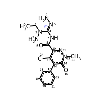 CCN(N)/C(=N\N)NC(=O)c1nn(C)c(=O)c(-c2ccccc2)c1Cl